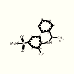 CNS(=O)(=O)c1ccc(N[C@H](C)c2ccccc2)c(Br)c1